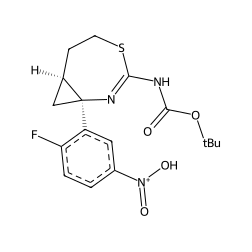 CC(C)(C)OC(=O)NC1=N[C@@]2(c3cc([N+](=O)O)ccc3F)C[C@H]2CCS1